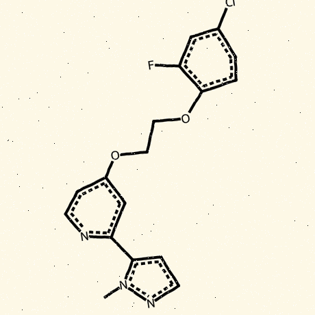 Cn1nccc1-c1cc(OCCOc2ccc(Cl)cc2F)ccn1